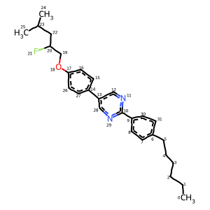 CCCCCCc1ccc(-c2ncc(-c3ccc(OCC(F)CC(C)C)cc3)cn2)cc1